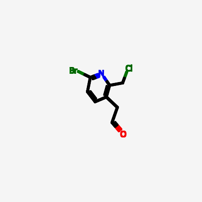 O=CCc1ccc(Br)nc1CCl